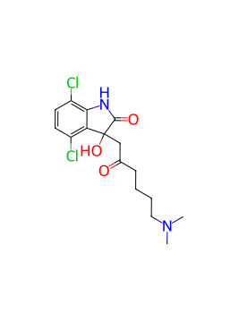 CN(C)CCCCC(=O)CC1(O)C(=O)Nc2c(Cl)ccc(Cl)c21